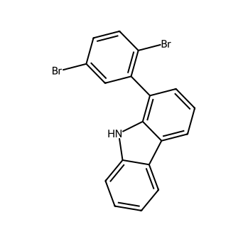 Brc1ccc(Br)c(-c2cccc3c2[nH]c2ccccc23)c1